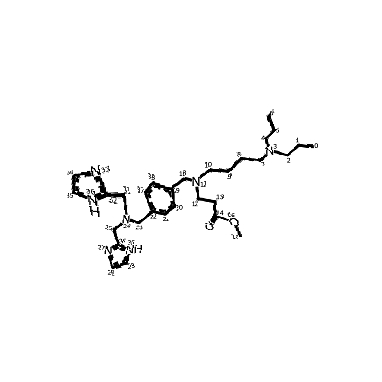 CCCN(CCC)CCCCN(CCC(=O)OC)Cc1ccc(CN(Cc2ncc[nH]2)Cc2ncc[nH]2)cc1